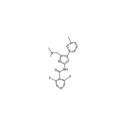 Cc1cccc(-c2sc(NC(=O)c3c(F)cccc3F)nc2CN(C)C)c1